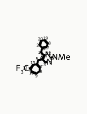 CNc1ncc(CC2=CCC=CC(C(F)(F)F)=C2)c(Cc2ccccc2)n1